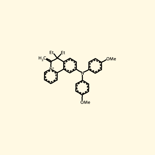 C=C1[n+]2ccccc2-c2cc(N(c3ccc(OC)cc3)c3ccc(OC)cc3)ccc2C1(CC)CC